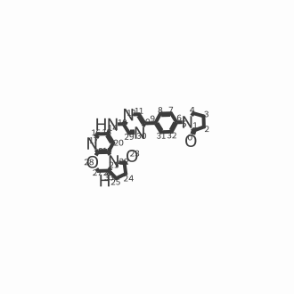 O=C1CCCN1c1ccc(-c2cnc(Nc3cnc4c(c3)N3C(=O)CC[C@H]3CO4)cn2)cc1